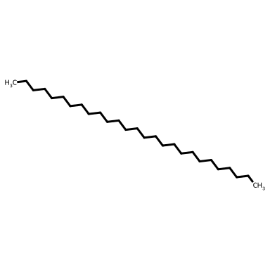 CCCCCCCCCCCCCCCCCCCCCCCCCCC